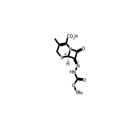 CC1=C(C(=O)O)N2C(=O)/C(=N/NC(=O)OC(C)(C)C)[C@H]2SC1